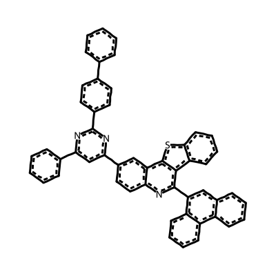 c1ccc(-c2ccc(-c3nc(-c4ccccc4)cc(-c4ccc5nc(-c6cc7ccccc7c7ccccc67)c6c7ccccc7sc6c5c4)n3)cc2)cc1